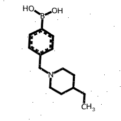 CCC1CCN(Cc2ccc(B(O)O)cc2)CC1